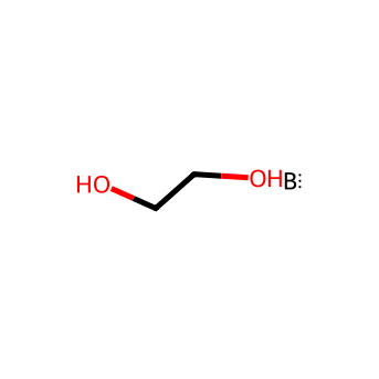 OCCO.[B]